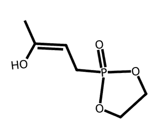 CC(O)=CCP1(=O)OCCO1